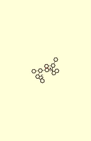 c1ccc(-c2ccc(N(c3ccc(-c4ccc(-c5ccccc5)c(-c5cccc6c5sc5ccccc56)c4)cc3)c3cccc4ccccc34)c(-c3ccccc3)c2)cc1